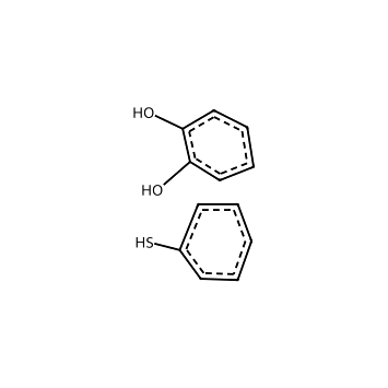 Oc1ccccc1O.Sc1ccccc1